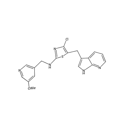 COc1cncc(CNc2nc(Cl)c(Cc3c[nH]c4ncccc34)s2)c1